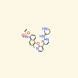 C=CS(=O)(=O)Nc1cccc2c(Oc3ncccc3-c3ccnc(N[C@H]4CCCNC4)n3)c(C)ccc12